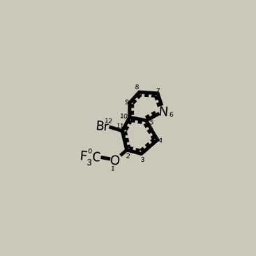 FC(F)(F)Oc1ccc2ncccc2c1Br